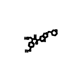 CCSc1ccc(C(CO)NC(=O)c2cnc3c(c2)CN(CC2CCCOC2)C3)cc1